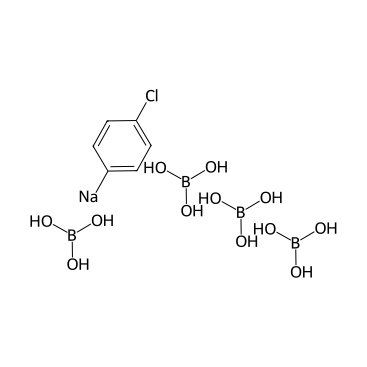 OB(O)O.OB(O)O.OB(O)O.OB(O)O.[Na][c]1ccc(Cl)cc1